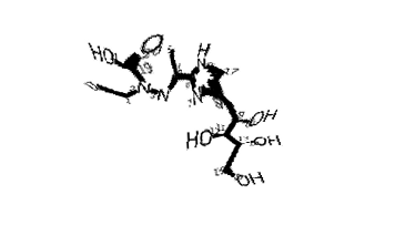 CCN(N=C(C)c1nc([C@@H](O)[C@H](O)[C@H](O)CO)c[nH]1)C(=O)O